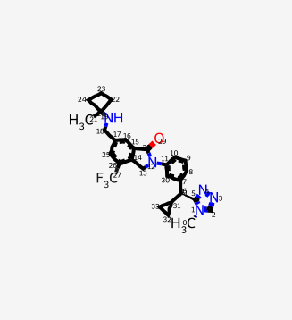 Cn1cnnc1[C@H](c1cccc(N2Cc3c(cc(CNC4(C)CCC4)cc3C(F)(F)F)C2=O)c1)C1CC1